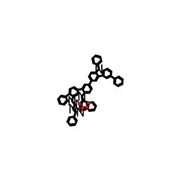 c1ccc(-c2ccc3c(c2)c2cc(-c4ccc5c(c4)c4ccc6c7ccccc7n(-c7nc(-c8ccccc8)nc(-c8ccccc8)n7)c6c4n5-c4ccccc4)ccc2n3-c2ccccc2)cc1